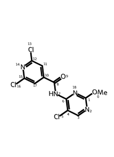 COc1ncc(Cl)c(NC(=O)c2cc(Cl)nc(Cl)c2)n1